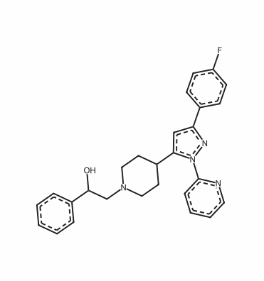 OC(CN1CCC(c2cc(-c3ccc(F)cc3)nn2-c2ccccn2)CC1)c1ccccc1